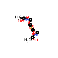 C=Cc1ccc(C(=O)Nc2ccccc2Oc2ccc(S(=O)(=O)c3ccc(Oc4ccccc4NC(=O)c4ccc(C=C)c(O)c4)cc3)cc2)cc1O